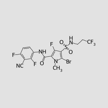 Cn1c(Br)c(S(=O)(=O)NCCC(F)(F)F)c(F)c1C(=O)Nc1ccc(F)c(C#N)c1F